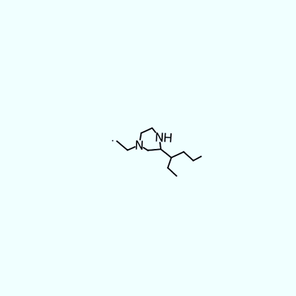 [CH2]CN1CCNC(C(CC)CCC)C1